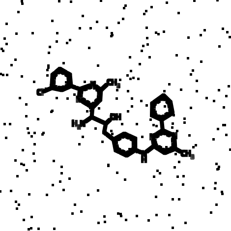 Cc1cc(Nc2ccc(CC(O)C(N)c3cc(C)nc(-c4cccc(Cl)c4)n3)cc2)nc(-c2ccccc2)n1